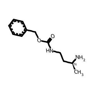 C[C@H](N)CCNC(=O)OCc1ccccc1